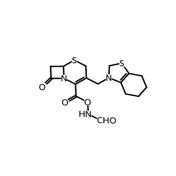 O=CNOC(=O)C1=C(CN2CSC3=C2CCCC3)CSC2CC(=O)N12